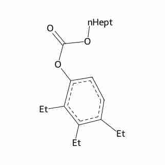 CCCCCCCOC(=O)Oc1ccc(CC)c(CC)c1CC